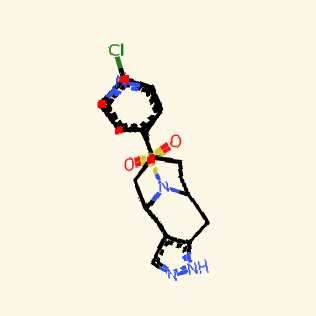 O=S(=O)(c1ccc(Cl)cc1)N1C2Cc3[nH]ncc3C1CC(c1ccncc1)C2